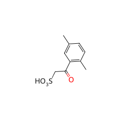 Cc1ccc(C)c(C(=O)CS(=O)(=O)O)c1